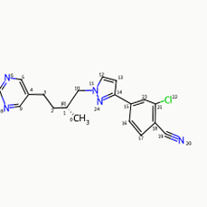 C[C@H](CCc1cncnc1)Cn1ccc(-c2ccc(C#N)c(Cl)c2)n1